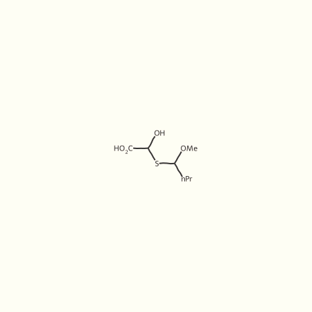 CCCC(OC)SC(O)C(=O)O